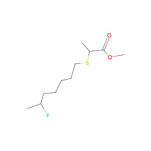 COC(=O)C(C)SCCCCCC(C)F